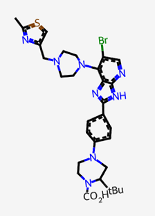 Cc1nc(CN2CCN(c3c(Br)cnc4[nH]c(-c5ccc(N6CCN(C(=O)O)C(C(C)(C)C)C6)cc5)nc34)CC2)cs1